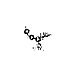 CC(C)C[C@H](N)C(=O)Nc1cc([C@H]2COC(C)(C)O2)cc(-c2ccc(Oc3ccc(F)cc3)cc2)n1